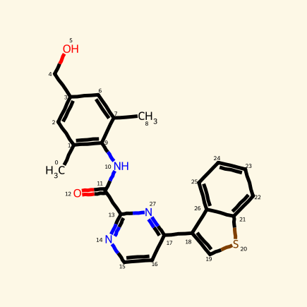 Cc1cc(CO)cc(C)c1NC(=O)c1nccc(-c2csc3ccccc23)n1